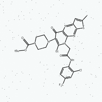 CCc1c(N2CCN(C(=O)OC(C)(C)C)CC2)c(=O)c2nc3cc(C)sc3nc2n1CC(=O)Nc1ccc(C(F)(F)F)cc1Cl